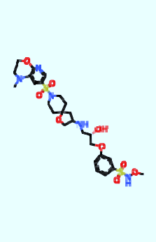 CONS(=O)(=O)c1cccc(OC[C@@H](O)CNC2COC3(CCN(S(=O)(=O)c4cnc5c(c4)N(C)CCO5)CC3)C2)c1